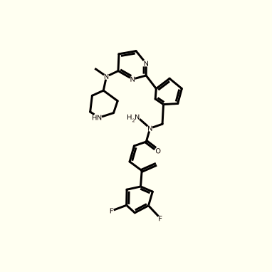 C=C(/C=C\C(=O)N(N)Cc1cccc(-c2nccc(N(C)C3CCNCC3)n2)c1)c1cc(F)cc(F)c1